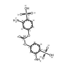 Nc1cc(O[PH](=O)Oc2ccc(S(=O)(=O)O)c(N)c2)ccc1S(=O)(=O)O